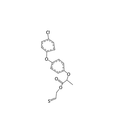 CC(Oc1ccc(Oc2ccc(Cl)cc2)cc1)C(=O)OCC=S